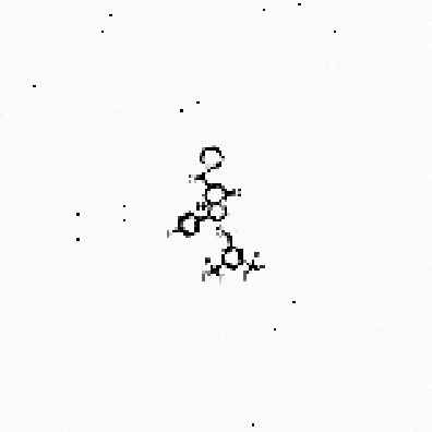 C[C@@H](O[C@H]1CN2C(=O)CC(C(=O)N3CCCCC3)C[C@H]2C1c1ccc(F)cc1)c1cc(C(F)(F)F)cc(C(F)(F)F)c1